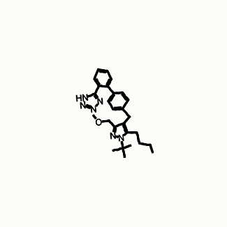 CCCCc1c(Cc2ccc(-c3ccccc3-c3nnn[nH]3)cc2)c(COC)nn1C(C)(C)C